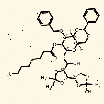 CCCCCCCC(=O)O[C@@H]1[C@H](OC(O)[C@@H]2OC(C)(C)O[C@H]2[C@@H]2COC(C)(C)O2)O[C@@H]2COC(c3ccccc3)O[C@H]2[C@@H]1OCc1ccccc1